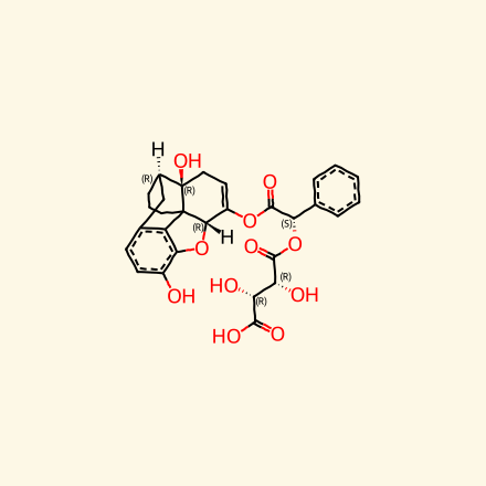 O=C(OC1=CC[C@@]2(O)[C@@H]3CCCC24c2c(ccc(O)c2O[C@@H]14)C3)[C@@H](OC(=O)[C@H](O)[C@@H](O)C(=O)O)c1ccccc1